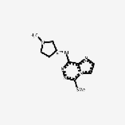 CSc1nnc(N[C@@H]2CCN(C)C2)c2nccn12